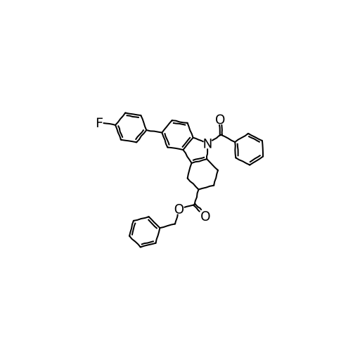 O=C(OCc1ccccc1)C1CCc2c(c3cc(-c4ccc(F)cc4)ccc3n2C(=O)c2ccccc2)C1